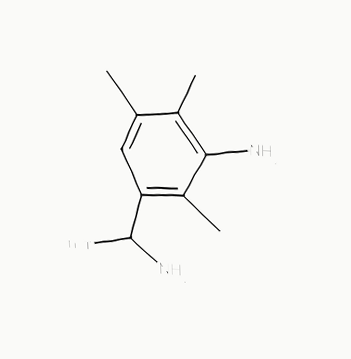 CCCC(N)c1cc(C)c(C)c(N)c1C